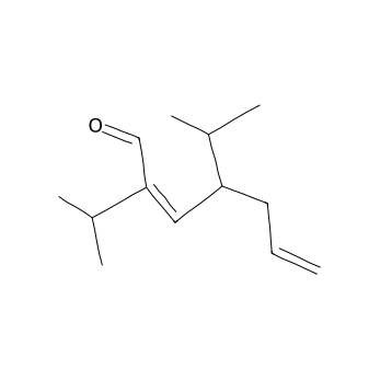 C=CCC(C=C(C=O)C(C)C)C(C)C